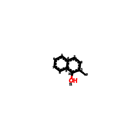 Cc1c[c]c2ccccc2c1O